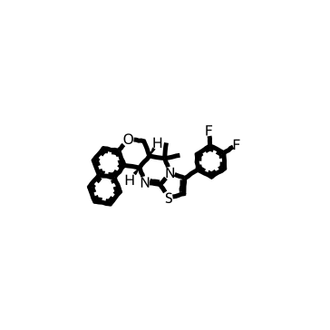 CC1(C)[C@H]2COc3ccc4ccccc4c3[C@H]2N=C2SC=C(c3ccc(F)c(F)c3)N21